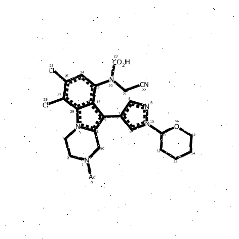 CC(=O)N1CCn2c(c(-c3cnn(C4CCCCO4)c3)c3c(N(CC#N)C(=O)O)cc(Cl)c(Cl)c32)C1